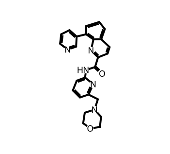 O=C(Nc1cccc(CN2CCOCC2)n1)c1ccc2cccc(-c3cccnc3)c2n1